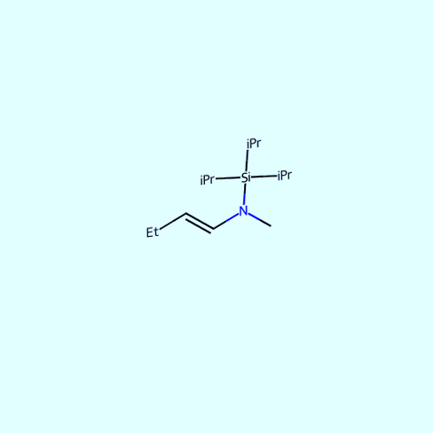 CCC=CN(C)[Si](C(C)C)(C(C)C)C(C)C